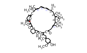 CO[C@H]1C[C@@H]2CC[C@@H](C)[C@@](O)(O2)C(=O)C(=O)N2CCCCC2C(=O)O[C@H]([C@H](C)C[C@]2(C)CC[C@@H](O)[C@H](OC)C2)CC(=O)C/C=C(\C)[C@@H](C)[C@@H](OC)C(=O)[C@H](C)C[C@H](C)/C=C/C=C/C=C/1C